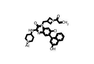 C=CC(=O)N1CC(Cn2c(=O)c(NC3CCN(C(C)=O)CC3)nc3cc(-c4cc(O)cc5ccccc45)c(Cl)cc32)C1